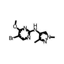 COc1nc(Nc2cn(C)nc2C)ncc1Br